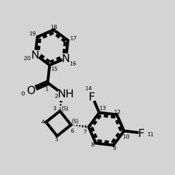 O=C(N[C@H]1CC[C@H]1c1ccc(F)cc1F)c1ncccn1